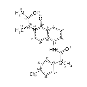 C[C@H](C(=O)Nc1cccc2c(=O)n([C@@H](C)C(N)=O)ccc12)c1ccc(Cl)cc1